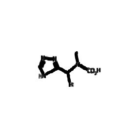 CCC(c1nnc[nH]1)N(C)C(=O)O